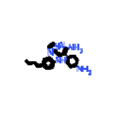 CCCCc1ccc(Nc2c3nccn3nc(N)c2[C@H]2CC[C@H](N)CC2)cc1